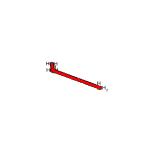 NOCCNC(=O)CCOCCOCCOCCOCCOCCOCCOCCOCCOCCOCCOCCOCCOCCOCCOCCOCCOCCOCCOCCOCCOCCOCCOCCOCCOCCOCCOCCOCCOCCOCCOCCOCCOCCOCCOCCOCCNC(=O)CC[C@H](NC(=O)CCCCCCCCCCCCC(O)O)C(=O)O